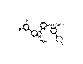 COc1cc(N2CCN(C)CC2)ccc1Nc1cccc(-c2nn(CO)c3ccc(-c4cc(F)cc(F)c4)cc23)n1